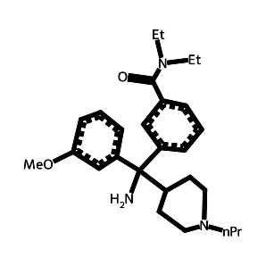 CCCN1CCC(C(N)(c2cccc(OC)c2)c2cccc(C(=O)N(CC)CC)c2)CC1